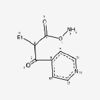 CCC(C(=O)ON)C(=O)c1ccncc1